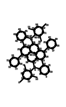 Cc1cc(C)c(B2c3ccccc3-c3cc(-c4ccccc4)c4cc5c6c(cc(-c7ccccc7)c7cc2c3c4c76)-c2ccccc2B5c2c(C)cc(C)cc2C)c(C)c1